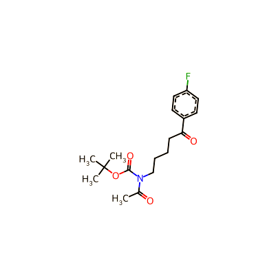 CC(=O)N(CCCCC(=O)c1ccc(F)cc1)C(=O)OC(C)(C)C